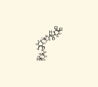 O=C(N[C@H]1CCN(Cc2ccc(I)c(OCCN3CCNCC3)c2)C1)c1ccc(Cl)c(Cl)c1